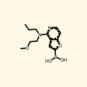 CCCN(CCOC)c1nccc2oc(B(O)O)cc12